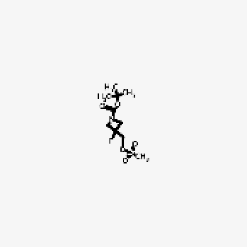 CC(C)(C)OC(=O)N1CC(F)(COS(C)(=O)=O)C1